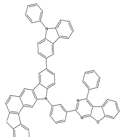 c1ccc(-c2nc(-c3cccc(-n4c5ccc(-c6ccc7c(c6)c6ccccc6n7-c6ccccc6)cc5c5cc6ccc7sc8ccccc8c7c6cc54)c3)nc3oc4ccccc4c23)cc1